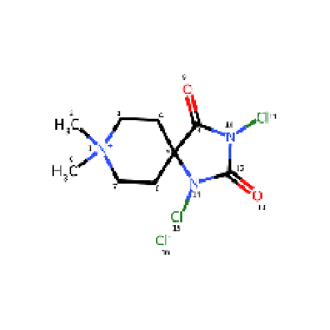 C[N+]1(C)CCC2(CC1)C(=O)N(Cl)C(=O)N2Cl.[Cl-]